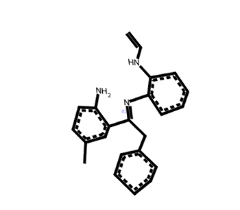 C=CNc1ccccc1/N=C(\Cc1ccccc1)c1cc(C)ccc1N